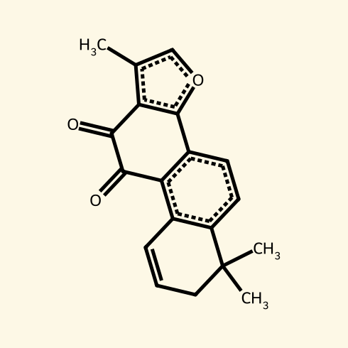 Cc1coc2c1C(=O)C(=O)c1c-2ccc2c1C=CCC2(C)C